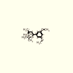 C=C(C)CC(O[Si](C)(C)C)c1cc(OC)cc(OC)c1